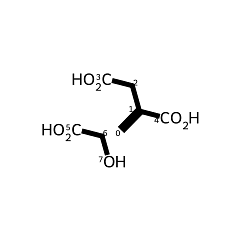 C=C(CC(=O)O)C(=O)O.O=C(O)CO